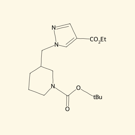 CCOC(=O)c1cnn(CC2CCCN(C(=O)OC(C)(C)C)C2)c1